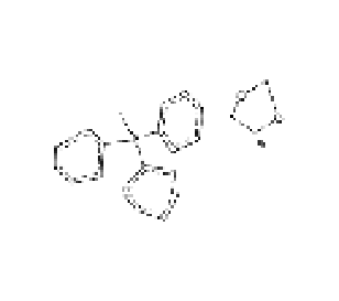 C1COCO1.C[P+](c1ccccc1)(c1ccccc1)c1ccccc1.[Br-]